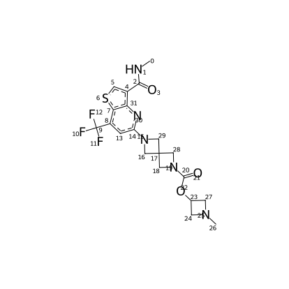 CNC(=O)c1csc2c(C(F)(F)F)cc(N3CC4(CN(C(=O)OC5CN(C)C5)C4)C3)nc12